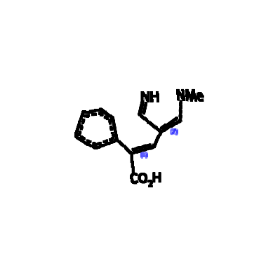 CN/C=C(C=N)/C=C(/C(=O)O)c1ccccc1